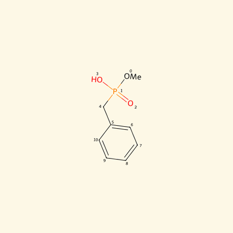 COP(=O)(O)Cc1ccccc1